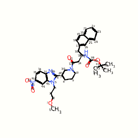 COCCCn1c([C@@H]2CCCN(C(=O)C[C@@H](Cc3ccc4ccccc4c3)NC(=O)OC(C)(C)C)C2)nc2ccc([N+](=O)[O-])cc21